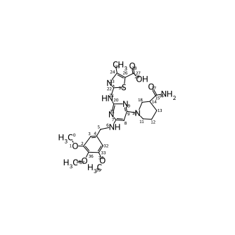 COc1cc(CNc2cc(N3CCCC(C(N)=O)C3)nc(Nc3nc(C)c(C(=O)O)s3)n2)cc(OC)c1OC